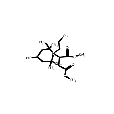 COC(=O)CC(C(=O)OC)[N+]1(CCO)C(C)(C)CC(O)CC1(C)C